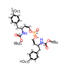 CCCCCCCCc1ccc(CC(/C=C\O[PH](=O)O/C=C\C(Cc2ccc(CCCCCCCC)cc2)NC(=O)OC(C)(C)C)NC(=O)OC(C)(C)C)cc1